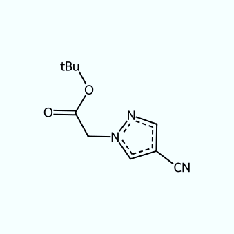 CC(C)(C)OC(=O)Cn1cc(C#N)cn1